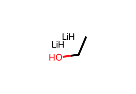 CCO.[LiH].[LiH]